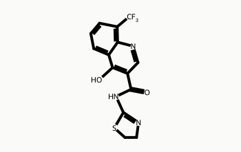 O=C(NC1=NCCS1)c1cnc2c(C(F)(F)F)cccc2c1O